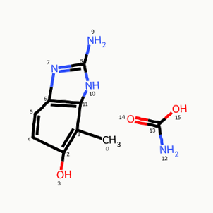 Cc1c(O)ccc2nc(N)[nH]c12.NC(=O)O